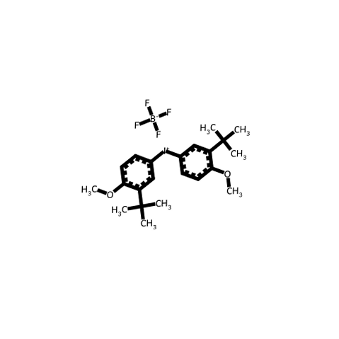 COc1ccc([I+]c2ccc(OC)c(C(C)(C)C)c2)cc1C(C)(C)C.F[B-](F)(F)F